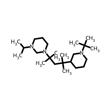 CC(C)N1CCCN(C(C)(C)CC(C)(C)C2CCCN(C(C)(C)C)C2)C1